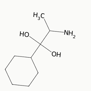 CC(N)C(O)(O)C1CCCCC1